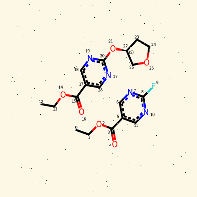 CCOC(=O)c1cnc(F)nc1.CCOC(=O)c1cnc(O[C@H]2CCOC2)nc1